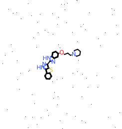 c1ccc2c(c1)sc1c(-c3nc4cc(OCCCN5CCCCC5)ccc4[nH]3)n[nH]c12